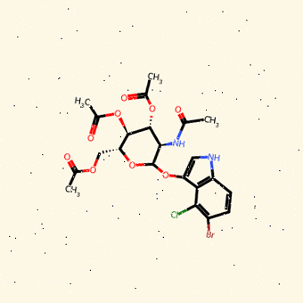 CC(=O)N[C@H]1C(Oc2c[nH]c3ccc(Br)c(Cl)c23)O[C@H](COC(C)=O)[C@@H](OC(C)=O)[C@@H]1OC(C)=O